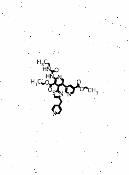 CCNC(=O)Nc1ncc(-c2cncc(C(=O)OCC)c2)c(-c2nc(Cc3ccncc3)cs2)c1C(=O)OCC